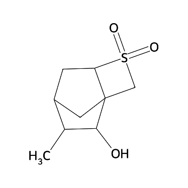 CC1C2CC3C(C2)(CS3(=O)=O)C1O